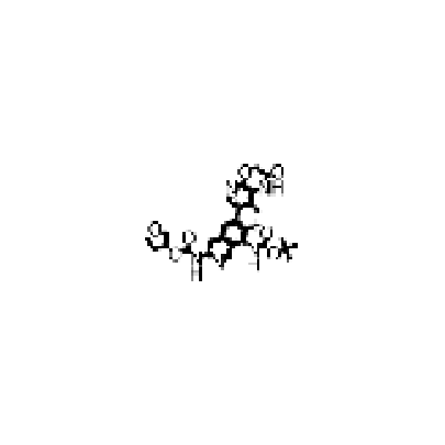 Cc1c(-c2cc3cc(NC(=O)OC4CCOC4)ncc3c(NC(=O)OC(C)(C)C)c2F)cnc2c1NC(=O)CO2